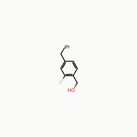 CC(C)Cc1ccc(CO)c(F)c1